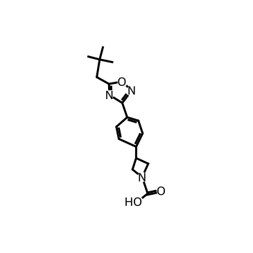 CC(C)(C)Cc1nc(-c2ccc(C3CN(C(=O)O)C3)cc2)no1